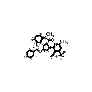 Cc1cc(C(F)(F)F)c(C#N)c(N2C[C@@H](OCc3ccccc3)C[C@H]2C(=O)N(C)c2ccc(F)c(Cl)c2)n1